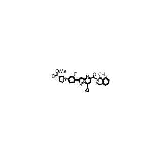 COC(=O)[C@H]1CCN(c2ccc(-c3cc4nc(C(=O)N5CCc6ccccc6[C@H]5C)cc(C5CC5)n4n3)c(F)c2)C1